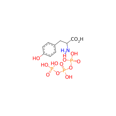 NC(Cc1ccc(O)cc1)C(=O)O.O=P(O)(O)OP(=O)(O)OP(=O)(O)O